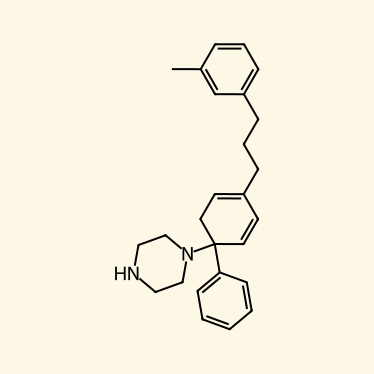 Cc1cccc(CCCC2=CCC(c3ccccc3)(N3CCNCC3)C=C2)c1